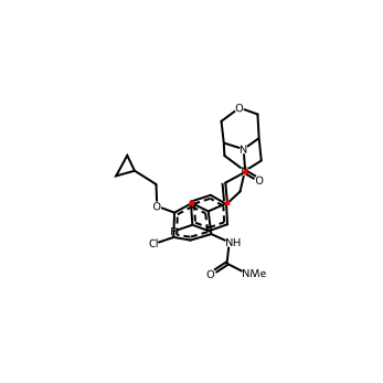 CNC(=O)Nc1cc(Cl)c(OCC2CC2)cc1C=CC(=O)N1C2COCC1CN(Cc1ccc(F)cc1)C2